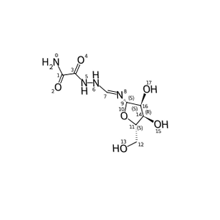 NC(=O)C(=O)NNC=N[C@H]1O[C@@H](CO)[C@H](O)[C@@H]1O